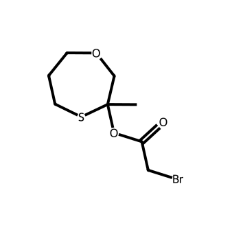 CC1(OC(=O)CBr)COCCCS1